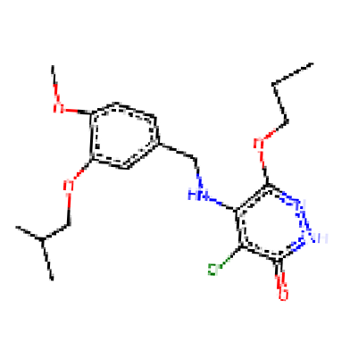 CCCOc1n[nH]c(=O)c(Cl)c1NCc1ccc(OC)c(OCC(C)C)c1